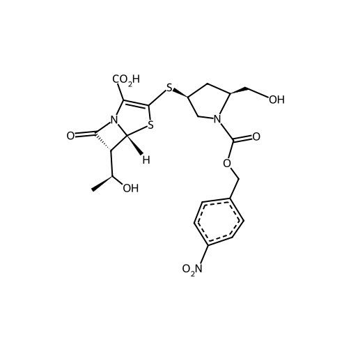 C[C@H](O)[C@@H]1C(=O)N2C(C(=O)O)=C(S[C@H]3C[C@@H](CO)N(C(=O)OCc4ccc([N+](=O)[O-])cc4)C3)S[C@H]12